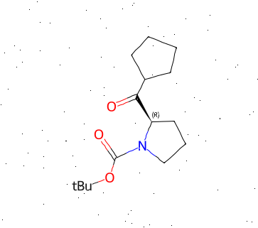 CC(C)(C)OC(=O)N1CCC[C@@H]1C(=O)C1CCCC1